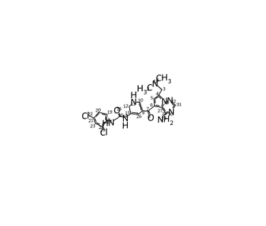 CN(C)Cc1cc(C(=O)C2=CNCC(NC(=O)Nc3ccc(Cl)cc3Cl)=C2)c2c(N)ncnn12